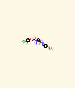 O=C(COc1ccc(Cl)c(F)c1)NC12CC(C1)[C@@H](C(=O)NCc1ccc(OC(F)(F)F)cc1)C2